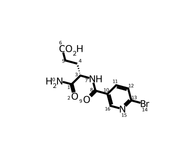 NC(=O)[C@H](CCC(=O)O)NC(=O)c1ccc(Br)nc1